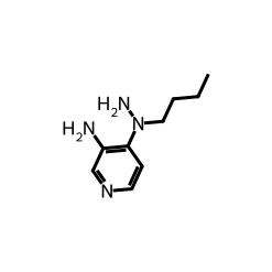 CCCCN(N)c1ccncc1N